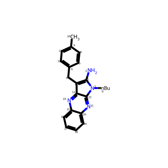 CCCCn1c(N)c(Cc2ccc(C)cc2)c2nc3ccccc3nc21